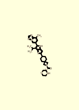 Cc1cc(-c2[nH]c3cc(C4CCC5(CC4)CN(C(=O)[C@H]4COCCN4)C5)sc3c2C(C)C)cn2ncnc12